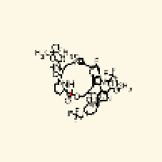 CO[C@@H](C)c1ncc(N2CCN(CC(F)(F)F)CC2)cc1-c1c2c3cc(c(F)cc3n1CC(F)(F)F)-c1csc(n1)C[C@H](NC(=O)OC(C)(C)C)C(=O)N1CCC[C@H](N1)C(=O)OCC(C)(C)C2